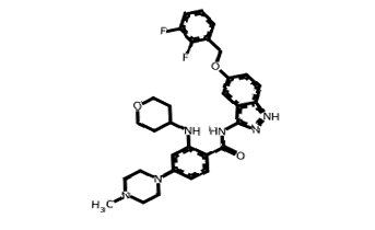 CN1CCN(c2ccc(C(=O)Nc3n[nH]c4ccc(OCc5cccc(F)c5F)cc34)c(NC3CCOCC3)c2)CC1